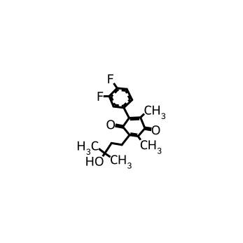 CC1=C(CCC(C)(C)O)C(=O)C(c2ccc(F)c(F)c2)=C(C)C1=O